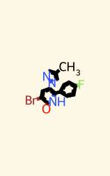 Cc1cnn(-c2cc(Br)c(=O)[nH]c2-c2ccc(F)cc2)c1